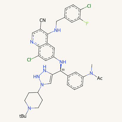 CC(=O)N(C)c1cccc([C@H](Nc2cc(Cl)c3ncc(C#N)c(NCc4ccc(Cl)c(F)c4)c3c2)C2=CN(C3CCN(C(C)(C)C)CC3)NN2)c1